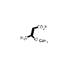 C/C(Cl)=C/C(=O)O.[GaH3]